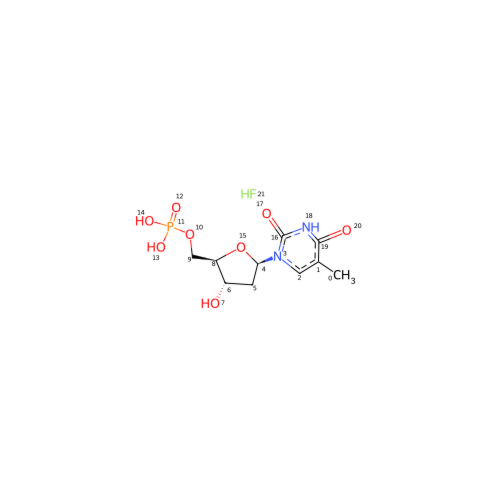 Cc1cn([C@H]2C[C@H](O)[C@@H](COP(=O)(O)O)O2)c(=O)[nH]c1=O.F